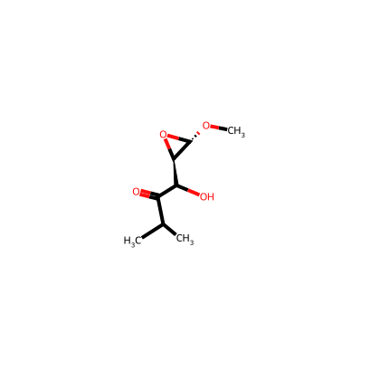 CO[C@H]1O[C@@H]1C(O)C(=O)C(C)C